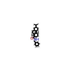 CC(C)C1CC[C@H]2C(CC[C@@H]3[C@]2(C)CCC[C@@]3(C)C(=O)NCc2ccccc2)C1